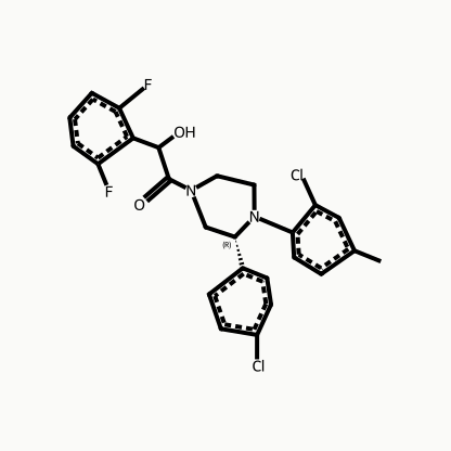 Cc1ccc(N2CCN(C(=O)C(O)c3c(F)cccc3F)C[C@H]2c2ccc(Cl)cc2)c(Cl)c1